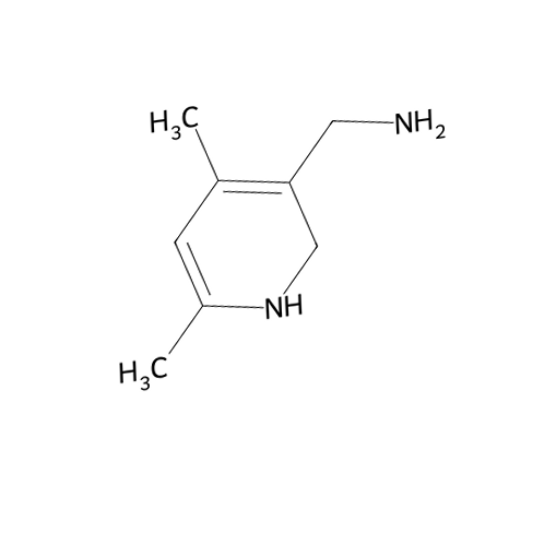 CC1=CC(C)=C(CN)CN1